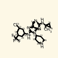 CC1(Nc2ncc3nc(NC4CC(Cl)CC(C(F)(F)F)C4)n(C4CCNCC4)c3n2)CC1